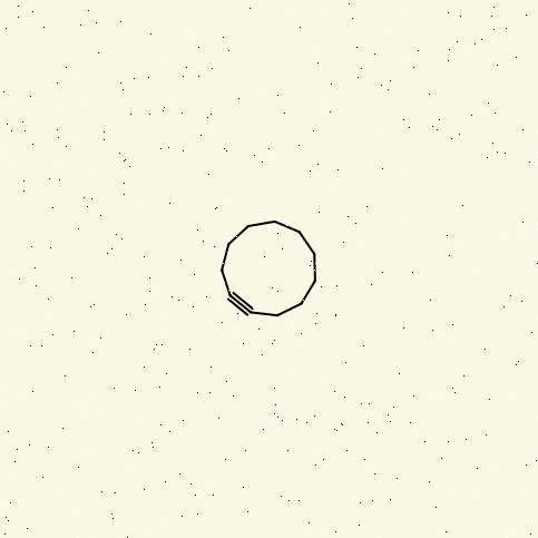 C1#CCCCCCCCCC1